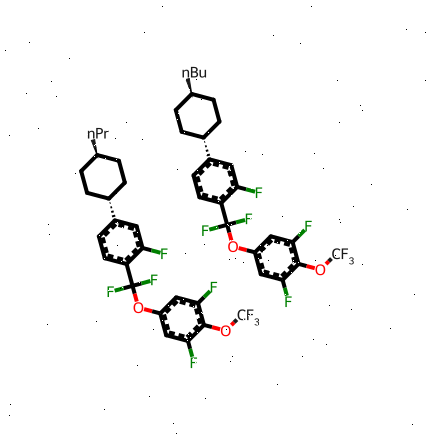 CCCC[C@H]1CC[C@H](c2ccc(C(F)(F)Oc3cc(F)c(OC(F)(F)F)c(F)c3)c(F)c2)CC1.CCC[C@H]1CC[C@H](c2ccc(C(F)(F)Oc3cc(F)c(OC(F)(F)F)c(F)c3)c(F)c2)CC1